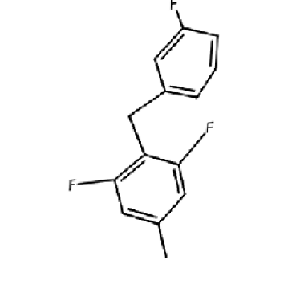 Cc1cc(F)c(Cc2cccc(F)c2)c(F)c1